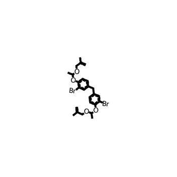 C=C(C)COC(C)Oc1ccc(Cc2ccc(OC(C)OCC(=C)C)c(Br)c2)cc1Br